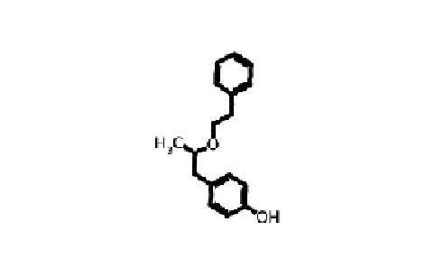 CC(Cc1ccc(O)cc1)OCCc1ccccc1